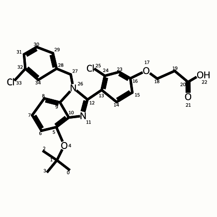 CC(C)(C)Oc1cccc2c1nc(-c1ccc(OCCC(=O)O)cc1Cl)n2Cc1cccc(Cl)c1